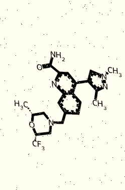 Cc1nn(C)cc1-c1cc(C(N)=O)nc2cc(CN3C[C@@H](C)O[C@@H](C(F)(F)F)C3)ccc12